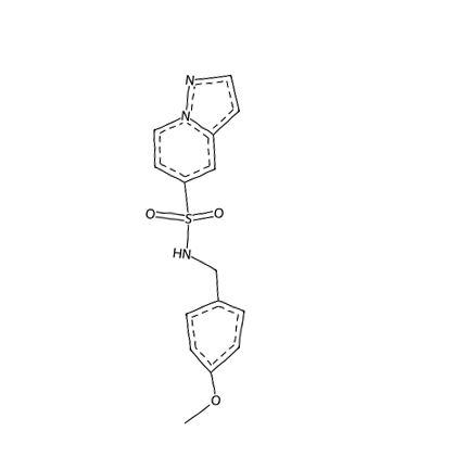 COc1ccc(CNS(=O)(=O)c2ccn3nccc3c2)cc1